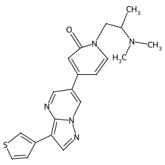 CC(Cn1ccc(-c2cnc3c(-c4ccsc4)cnn3c2)cc1=O)N(C)C